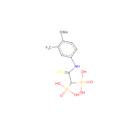 COc1ccc(NC(=S)C(P(=O)(O)O)P(=O)(O)O)cc1C(F)(F)F